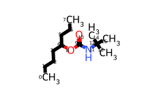 CCCCC(CCC)OC(=O)NC(C)(C)C